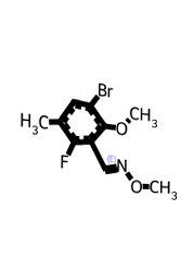 CO/N=C/c1c(F)c(C)cc(Br)c1OC